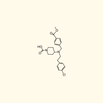 COC(=O)c1ccc(CN(CCc2ccc(Cl)cc2)C2CCN(C(=O)O)CC2)cc1